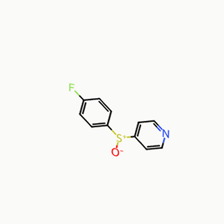 [O-][S+](c1ccncc1)c1ccc(F)cc1